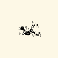 CC(Cc1ccc2c(c1)OC(C(=O)OCCOC(C)(C)C)(C(=O)OCCOC(C)(C)C)O2)NCC(O)c1cccc(Cl)c1